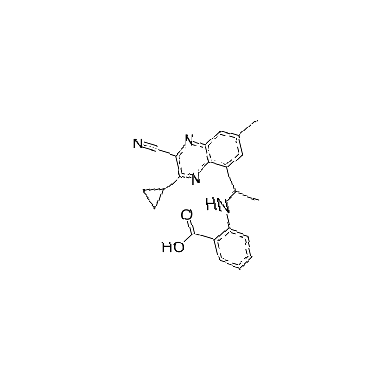 Cc1cc(C(C)Nc2ccccc2C(=O)O)c2nc(C3CC3)c(C#N)nc2c1